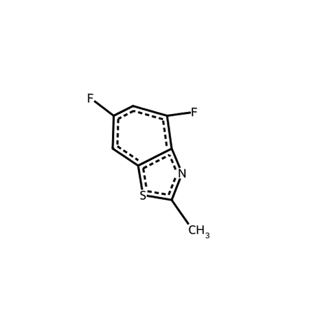 Cc1nc2c(F)cc(F)cc2s1